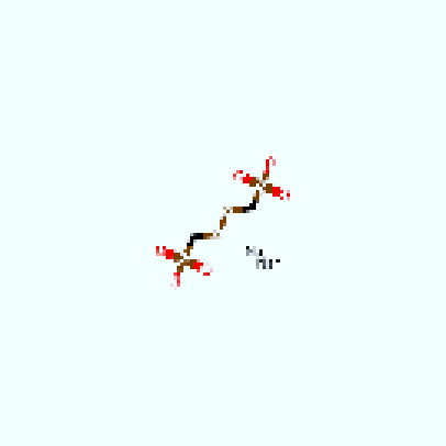 O=S(=O)([O-])CSSCS(=O)(=O)[O-].[Na+].[Na+]